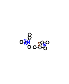 c1ccc(-c2nc(-c3cccc(-c4ccc(-c5ccc6c7ccccc7n7c8ccccc8c8ccc9sc5c6c9c87)cc4)c3)nc(-c3ccc4ccccc4c3)n2)cc1